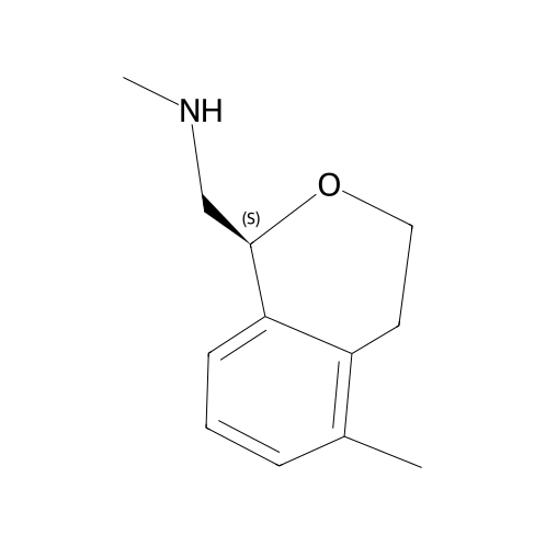 CNC[C@H]1OCCc2c(C)cccc21